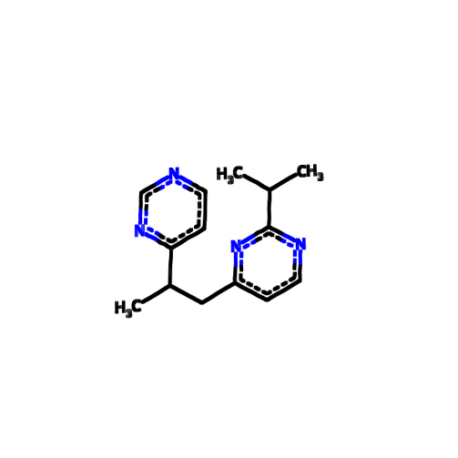 CC(C)c1nccc(CC(C)c2ccncn2)n1